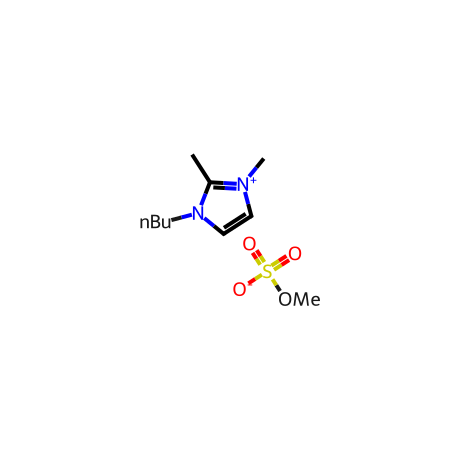 CCCCn1cc[n+](C)c1C.COS(=O)(=O)[O-]